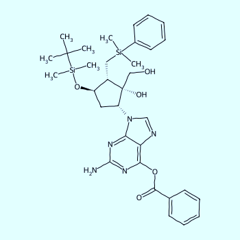 CC(C)(C)[Si](C)(C)O[C@@H]1C[C@@H](n2cnc3c(OC(=O)c4ccccc4)nc(N)nc32)[C@](O)(CO)[C@H]1C[Si](C)(C)c1ccccc1